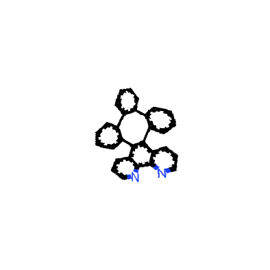 c1ccc2c(c1)-c1ccccc1-c1c(c3cccnc3c3ncccc13)-c1ccccc1-2